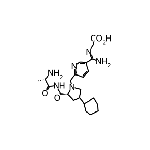 C[C@H](N)C(=O)NC(=O)[C@@H]1CC(C2CCCCC2)CN1Cc1ccc(C(N)=NCC(=O)O)cn1